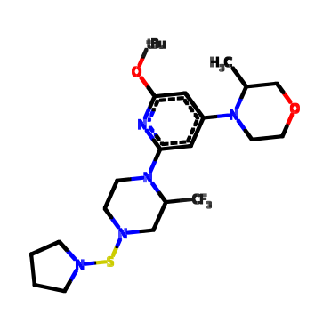 CC1COCCN1c1cc(OC(C)(C)C)nc(N2CCN(SN3CCCC3)CC2C(F)(F)F)c1